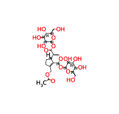 CC(=O)OCC1=C2[C@H](O[C@@H]3O[C@H](CO)[C@@H](O)[C@H](O)[C@H]3O)OC=C(C(=O)O[C@@H]3O[C@H](CO)[C@@H](O)[C@H](O)[C@H]3O)[C@H]2CC1